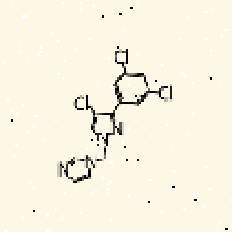 Clc1cc(Cl)cc(-c2nn(Cn3ccnc3)cc2Cl)c1